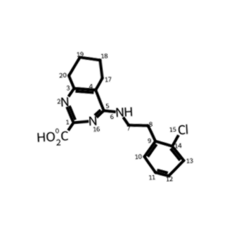 O=C(O)c1nc2c(c(NCCc3ccccc3Cl)n1)CCCC2